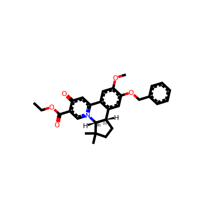 CCOC(=O)c1cn2c(cc1=O)-c1cc(OC)c(OCc3ccccc3)cc1[C@@H]1CCC(C)(C)[C@@H]12